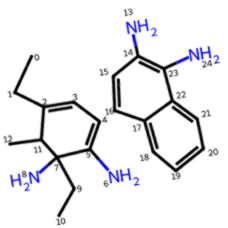 CCC1=CC=C(N)C(N)(CC)C1C.Nc1ccc2ccccc2c1N